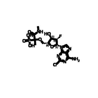 CNC(=O)C(C)(OC[C@H]1O[C@@H](n2cnc3c(N)nc(Cl)nc32)[C@@H](F)[C@@H]1O)P(=O)(O)O